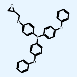 c1ccc(Oc2ccc(P(c3ccc(OCC4CO4)cc3)c3ccc(Oc4ccccc4)cc3)cc2)cc1